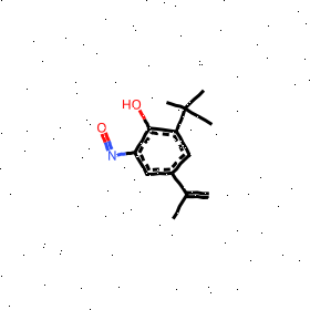 C=C(C)c1cc(N=O)c(O)c(C(C)(C)C)c1